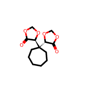 O=C1OCO[C@H]1C1([C@@H]2OCOC2=O)CCCCCC1